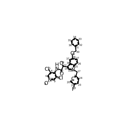 O=C(Nc1c(Cl)c[n+]([O-])cc1Cl)C(=O)c1cn(Cc2ccc(F)cc2)c2ccc(OCc3ccccc3)cc12